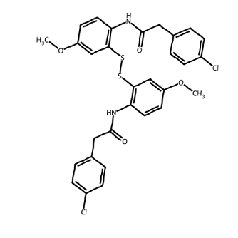 COc1ccc(NC(=O)Cc2ccc(Cl)cc2)c(SSc2cc(OC)ccc2NC(=O)Cc2ccc(Cl)cc2)c1